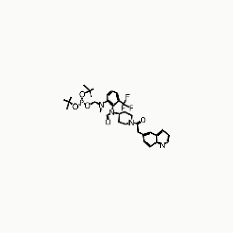 CN(COP(OC(C)(C)C)OC(C)(C)C)c1cccc(C(F)(F)F)c1N(C=O)C1CCN(C(=O)Cc2ccc3ncccc3c2)CC1